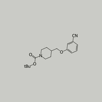 CC(C)(C)OC(=O)N1CCC(COc2cccc(C#N)c2)CC1